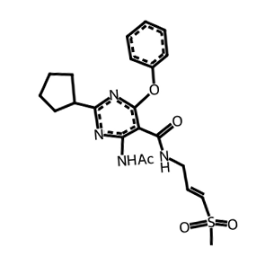 CC(=O)Nc1nc(C2CCCC2)nc(Oc2ccccc2)c1C(=O)NC/C=C/S(C)(=O)=O